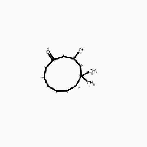 CCC1CC(=O)CCCCCCC(C)(C)C1